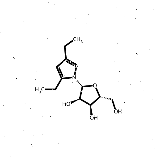 CCc1cc(CC)n([C@@H]2O[C@H](CO)[C@@H](O)[C@H]2O)n1